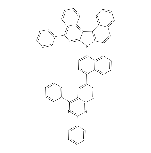 c1ccc(-c2nc(-c3ccccc3)c3cc(-c4ccc(-n5c6ccc7ccccc7c6c6c7ccccc7c(-c7ccccc7)cc65)c5ccccc45)ccc3n2)cc1